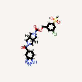 CS(=O)(=O)c1cc(Cl)cc(COC(=O)N2C[C@@H]3CN(C(=O)c4ccc5[nH]nnc5c4)C[C@@H]3C2)c1